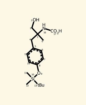 CC(CO)(Cc1ccc(O[Si](C)(C)C(C)(C)C)cc1)NC(=O)O